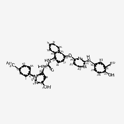 Cc1ccc(-n2nc(O)cc2NC(=O)Nc2ccc(Oc3ccnc(Nc4ccc(O)c(F)c4)n3)c3ccccc23)cc1